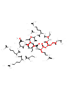 C=C(N)NCCCC(NC(=O)C(N)CC(C)C)C(=O)NC(CCCNC(=C)N)C(=O)NC(CCC(=O)O)C(=O)NC(CCCNC(=C)N)C(=O)NC(CCC(N)=O)C(=O)NC(CO)C(=O)NC(CCCNC(=C)N)C(=O)NC(CC(C)C)C(=O)NC(CCCNC(=C)N)C(=O)NC(CCCNC(=C)N)C(=O)NC(CCC(=O)O)C(=O)NC(CCCNC(=N)N)C(=O)NC(CCC(N)=O)C(=O)NCC